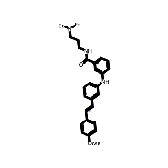 CCN(CC)CCCNC(=O)c1cccc(Nc2cccc(/C=C/c3ccc(OC)cc3)c2)c1